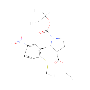 CCOC(=O)[C@@H]1CCN(C(=O)OC(C)(C)C)[C@@H]1c1cc([N+](=O)[O-])ccc1SCC